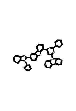 c1ccc(-c2nc(-c3cccc4c3sc3ccc(-c5nc6ccccc6n5-c5ccccc5)cc34)nc(-n3c4ccccc4c4ccccc43)n2)cc1